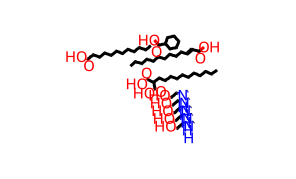 CCCCCCCCCCC=CC(=O)O.CCCCCCCCCCCC(=O)O.CCCCCCCCCCCC(C(=O)O)C(=O)O.CNCCO.CNCCO.CNCCO.CNCCO.CNCCO.O=C(O)C1CCCCC1